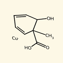 CC1(C(=O)O)C=CC=CC1O.[Cu]